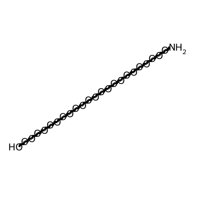 NCCOCCOCCOCCOCCOCCOCCOCCOCCOCCOCCOCCOCCOCCOCCOCCOCCOCCOCCOCCOCCOCCOCCOCCO